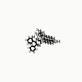 [2H]C([2H])([2H])C([2H])(C)N(c1cnc(-c2ccccc2)c(-c2ccccc2)n1)C([2H])([2H])C([2H])([2H])C([2H])([2H])C([2H])([2H])O